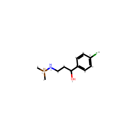 C[SH](C)NCCC(O)c1ccc(F)cc1